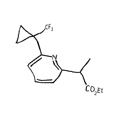 CCOC(=O)C(C)c1cccc(C2(C(F)(F)F)CC2)n1